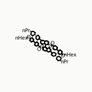 CCCCCCOc1ccc(-c2ccc(C(=O)Oc3ccc4cc(C5=CCC([C@H]6CC[C@H](CCC)CC6)CC5)ccc4c3-c3c(OC(=O)c4ccc(-c5ccc(OCCCCCC)cc5)cc4)ccc4cc(C5=CCC([C@H]6CC[C@H](CCC)CC6)CC5)ccc34)cc2)cc1